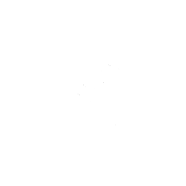 Cc1ccc2c(c1)c(N1CCC(=O)NC1=O)nn2CC(F)(F)F